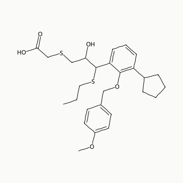 CCCSC(c1cccc(C2CCCC2)c1OCc1ccc(OC)cc1)C(O)CSCC(=O)O